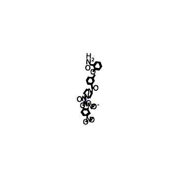 NC(=O)c1ccccc1OCc1cccc(C(=O)N2CCN(/[N+]([O-])=N/Oc3ccc([N+](=O)[O-])cc3[N+](=O)[O-])CC2)c1